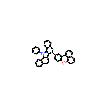 c1ccc(-n2c3c4ccccc4ccc3c3c(-c4ccc5c(c4)-c4cccc6cccc(c46)O5)cc4ccccc4c32)cc1